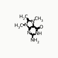 C=C1N(C)c2nc(N)[nH]c(=O)c2N1C